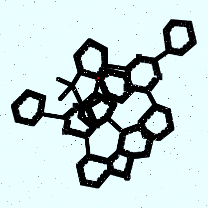 CC1(C)c2ccc(-c3cccc4oc5cccc(-c6nc(-c7ccccc7)nc(-c7ccccc7)n6)c5c34)cc2-c2c(-c3nc(-c4ccccc4)nc(-c4ccccc4)n3)cccc21